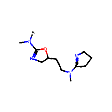 CCN(C)C1=NCC(CCN(C)C2=NCCC2)O1